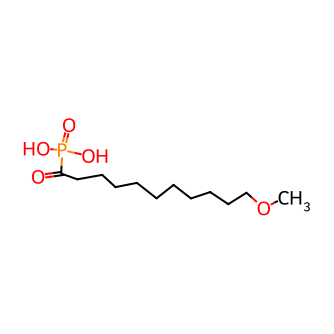 COCCCCCCCCCCC(=O)P(=O)(O)O